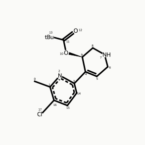 Cc1nc(C2=CCNC[C@@H]2OC(=O)C(C)(C)C)ccc1Cl